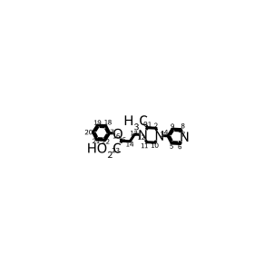 CC1CN(c2ccncc2)CCN1CCC(Oc1ccccc1)C(=O)O